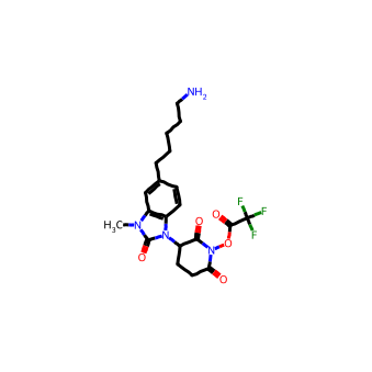 Cn1c(=O)n(C2CCC(=O)N(OC(=O)C(F)(F)F)C2=O)c2ccc(CCCCCN)cc21